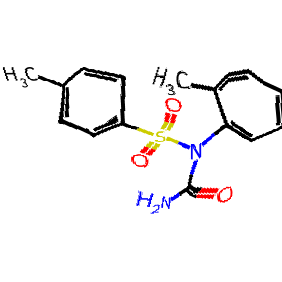 Cc1ccc(S(=O)(=O)N(C(N)=O)c2ccccc2C)cc1